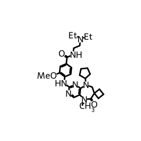 CCN(CC)CCNC(=O)c1ccc(Nc2ncc3c(n2)N(C2CCCC2)CC2(CCC2)C(=O)N3C)c(OC)c1